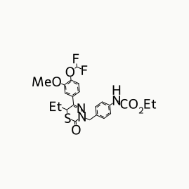 CCOC(=O)Nc1ccc(CN2N=C(c3ccc(OC(F)F)c(OC)c3)C(CC)SC2=O)cc1